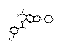 C[S+]([O-])c1cc2nn(C3CCCCC3)cc2cc1NC(=O)c1cccc(C(F)(F)F)n1